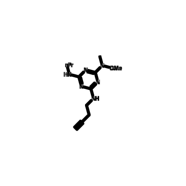 C#CCCNc1nc(NCCC)nc(N(C)OC)n1